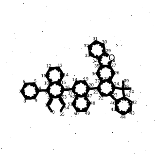 C/C=c1/c(-c2ccccc2)c2ccccc2c(-c2ccc(-c3cc4c(c5cc6oc7ccccc7c6cc35)C(C)(C)c3ccccc3-4)c3ccccc23)/c1=C/C